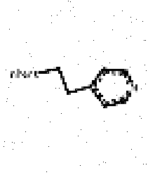 CCCCCCCc1ccncc1